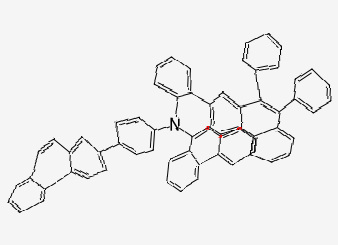 c1ccc(-c2c(-c3ccccc3)c3cc(-c4ccccc4N(c4ccc(-c5ccc6c(ccc7ccccc76)c5)cc4)c4cc5ccccc5c5ccccc45)ccc3c3ccccc23)cc1